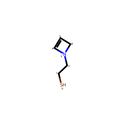 SCCN1C=CC1